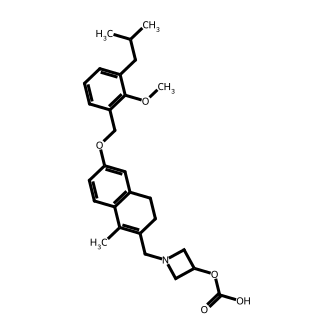 COc1c(COc2ccc3c(c2)CCC(CN2CC(OC(=O)O)C2)=C3C)cccc1CC(C)C